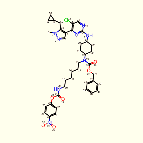 Cn1ncc(-c2nc(NC3CCC(N(CCCCCCNC(=O)Oc4ccc([N+](=O)[O-])cc4)C(=O)OCc4ccccc4)CC3)ncc2Cl)c1CC1CC1